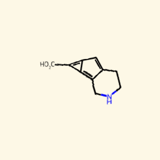 O=C(O)c1c2cc3c(c1-2)CNCC3